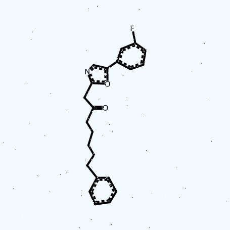 O=C(CCCCCc1ccccc1)Cc1ncc(-c2cccc(F)c2)o1